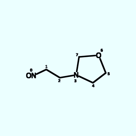 O=NCCN1CCOC1